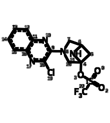 O=S(=O)(OC12CC(CN(c3nc4ccccc4nc3Cl)C1)N2)C(F)(F)F